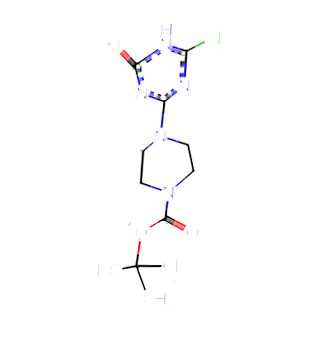 CC(C)(C)OC(=O)N1CCN(c2nc(Cl)[nH]c(=O)n2)CC1